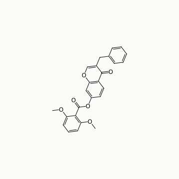 COc1cccc(OC)c1C(=O)Oc1ccc2c(=O)c(Cc3ccccc3)coc2c1